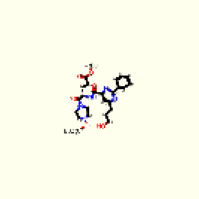 CCOC(=O)ON1CCN(C(=O)[C@H](CCC(=O)OC(C)(C)C)NC(=O)c2cc(CCCO)nc(-c3ccccc3)n2)CC1